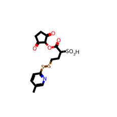 Cc1ccc(SSCCC(C(=O)OC2C(=O)CCC2=O)S(=O)(=O)O)nc1